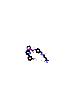 CC1(CCC(=O)NCc2ccc(NC(=O)N3c4nc(-c5cccc(C(F)(F)F)c5)ccc4N4CCC3CC4)cc2)N=N1